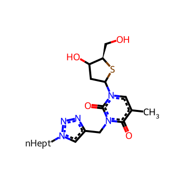 CCCCCCCn1cc(Cn2c(=O)c(C)cn(C3CC(O)[C@@H](CO)S3)c2=O)nn1